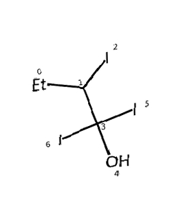 CCC(I)C(O)(I)I